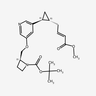 COC(=O)C=CC[C@H]1C[C@@H]1c1cncc(OC[C@@H]2CCN2C(=O)OC(C)(C)C)c1